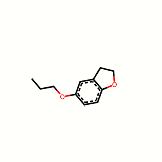 CCCOc1[c]cc2c(c1)CCO2